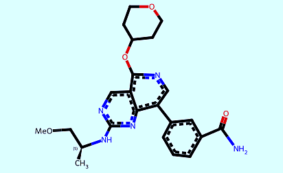 COC[C@H](C)Nc1ncc2c(OC3CCOCC3)ncc(-c3cccc(C(N)=O)c3)c2n1